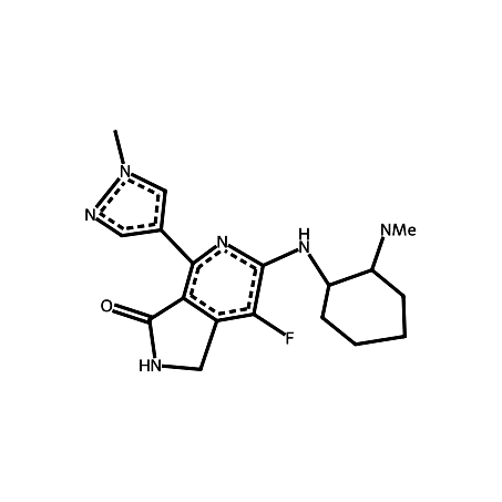 CNC1CCCCC1Nc1nc(-c2cnn(C)c2)c2c(c1F)CNC2=O